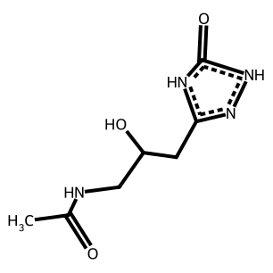 CC(=O)NCC(O)Cc1n[nH]c(=O)[nH]1